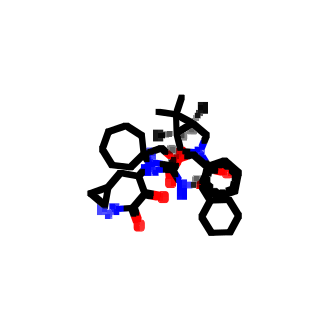 CC1(C)[C@@H]2[C@@H](C(=O)NC(CC3CC3)C(=O)C(N)=O)N(C(=O)[C@@H](NC(=O)NC3(COCc4ccccc4)CCCCCC3)C3CCCCC3)C[C@@H]21